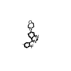 Fc1cc[c]cc1-c1ncnc2cc(N3CCOCC3)ccc12